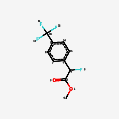 COC(=O)C(F)c1ccc(C(F)(F)F)cc1